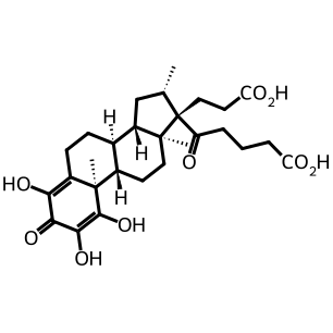 C[C@H]1C[C@H]2[C@@H]3CCC4=C(O)C(=O)C(O)=C(O)[C@]4(C)[C@H]3CC[C@]2(C)[C@@]1(CCC(=O)O)C(=O)CCCC(=O)O